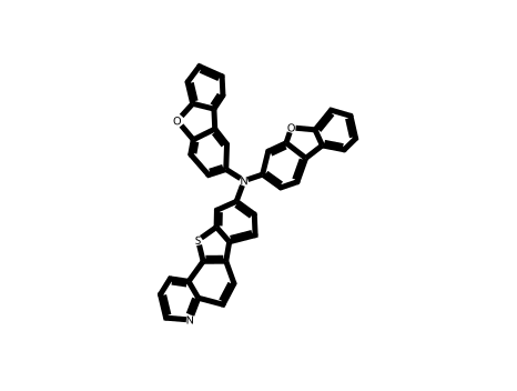 c1ccc2c(c1)oc1cc(N(c3ccc4c(c3)sc3c5cccnc5ccc43)c3ccc4oc5ccccc5c4c3)ccc12